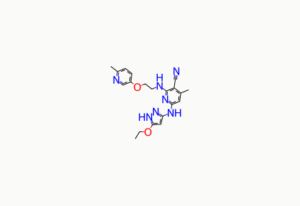 CCOc1cc(Nc2cc(C)c(C#N)c(NCCOc3ccc(C)nc3)n2)n[nH]1